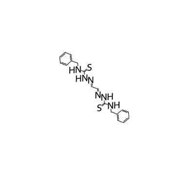 S=C(NCc1ccccc1)N/N=C/C=N/NC(=S)NCc1ccccc1